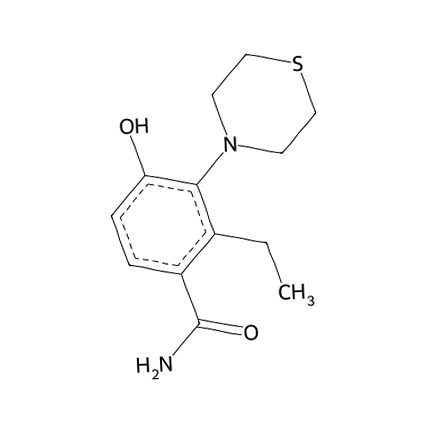 CCc1c(C(N)=O)ccc(O)c1N1CCSCC1